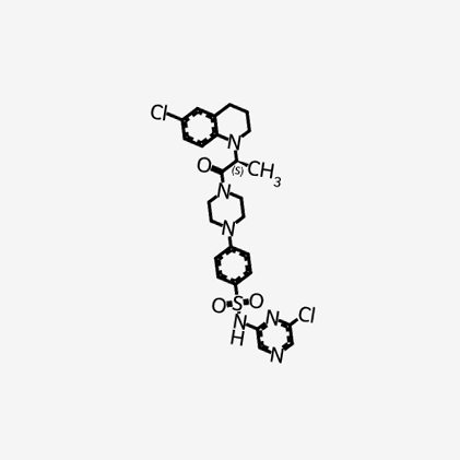 C[C@@H](C(=O)N1CCN(c2ccc(S(=O)(=O)Nc3cncc(Cl)n3)cc2)CC1)N1CCCc2cc(Cl)ccc21